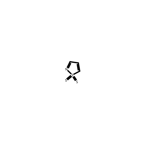 S=S1(=S)C=CC=N1